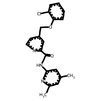 Cc1cc(C)nc(NC(=O)c2cc(COc3ccccc3Cl)ccn2)c1